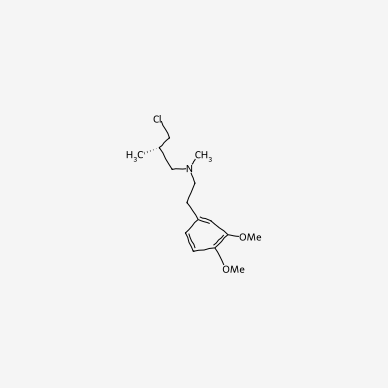 COc1ccc(CCN(C)C[C@H](C)CCl)cc1OC